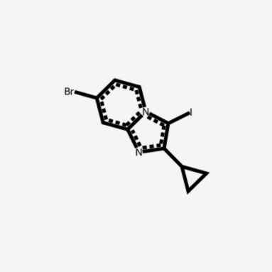 Brc1ccn2c(I)c(C3CC3)nc2c1